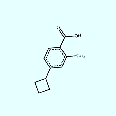 Nc1cc(C2CCC2)ccc1C(=O)O